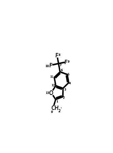 [CH2]c1cc2ccc(C(F)(F)F)cc2o1